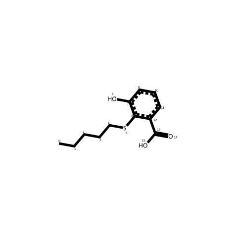 CCCCCSc1c(O)cccc1C(=O)O